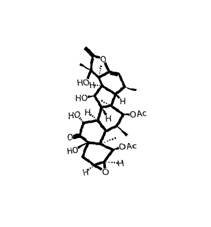 C=C1OC2=C[C@@H](C)[C@H]3[C@@H]([C@H](O)[C@H]4[C@H]5C([C@H](C)[C@H](OC(C)=O)[C@]34C)[C@@]3(C)[C@@H](OC(C)=O)[C@H]4O[C@H]4C[C@]3(O)C(=O)[C@@H]5O)[C@@]2(C)[C@]1(C)O